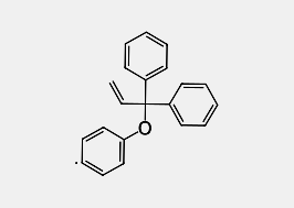 C=CC(Oc1cc[c]cc1)(c1ccccc1)c1ccccc1